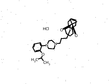 CC(C)Oc1ccccc1N1CCN(CCCN2C(=O)C34CC=CCC3(CCCC4)C2=O)CC1.Cl